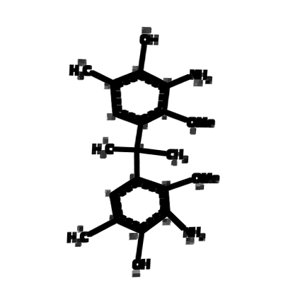 COc1c(C(C)(C)c2cc(C)c(O)c(N)c2OC)cc(C)c(O)c1N